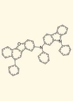 c1ccc(-c2cc3c4cc(N(c5ccccc5)c5ccc6c7ccccc7n(-c7ccccc7)c6c5)ccc4oc3c3ccccc23)cc1